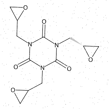 O=c1n(CC2CO2)c(=O)n(C[C@@H]2CO2)c(=O)n1CC1CO1